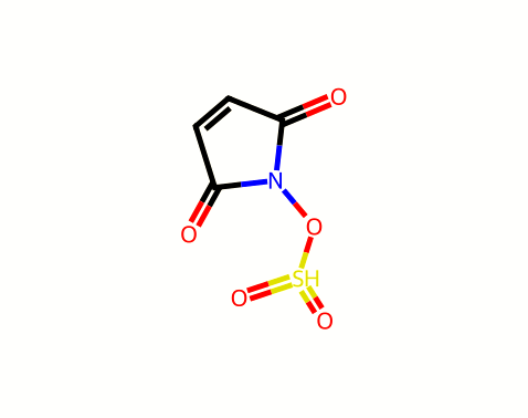 O=C1C=CC(=O)N1O[SH](=O)=O